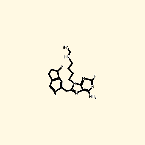 CC(C)CNCCCCn1c(Cc2cc3c(cc2I)CCC3F)nc2c(N)nc(F)nc21